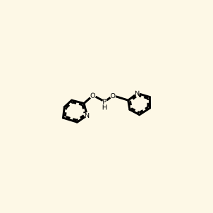 c1ccc(OPOc2ccccn2)nc1